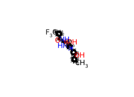 Cc1cccc(C2(O)CCC(N3C[C@H](NC(=O)CNC(=O)c4cccc(C(F)(F)F)c4)[C@@H](O)C3)CC2)c1